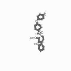 O=C(O)C1c2[nH]c3ccccc3c2CCN1S(=O)(=O)c1ccc(Oc2ccc(Cl)cc2)cc1